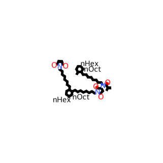 C=C(C)C(=O)N(CCCCCCCCC1C(C)CCC(CCCCCC)C1CCCCCCCC)C1CC(=O)N(CCCCCCCCC2C(CCCCCCCCN3C(=O)C=CC3=O)CCC(CCCCCC)C2CCCCCCCC)C1=O